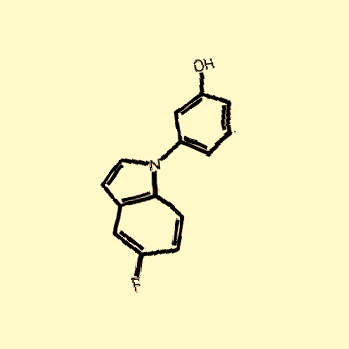 Oc1c[c]cc(-n2ccc3cc(F)ccc32)c1